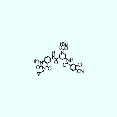 CC(C)n1c(=O)n(CC2CC2)c(=O)c2cc(NC(=O)C3CC(NC(=O)c4ccc(C#N)c(Cl)c4)CN(C(=O)OC(C)(C)C)C3)ccc21